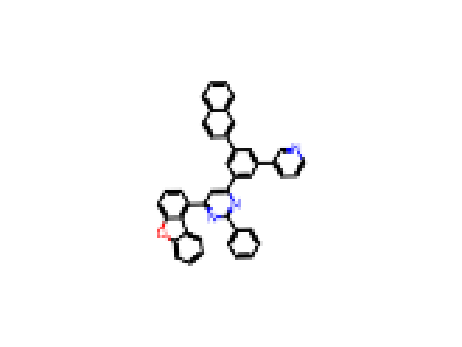 c1ccc(-c2nc(-c3cc(-c4cccnc4)cc(-c4ccc5ccccc5c4)c3)cc(-c3cccc4oc5ccccc5c34)n2)cc1